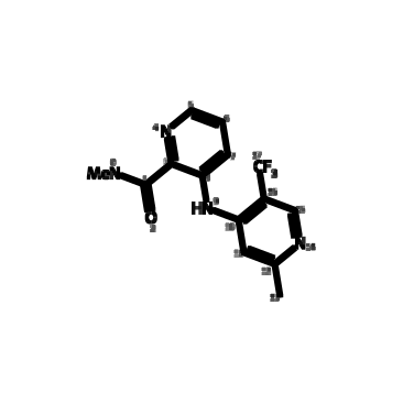 CNC(=O)c1ncccc1Nc1cc(C)ncc1C(F)(F)F